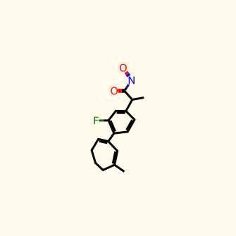 CC1=CC(c2ccc(C(C)C(=O)N=O)cc2F)=CCCC1